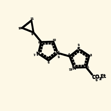 CCOC(=O)c1csc(-n2cnc(C3CC3)c2)n1